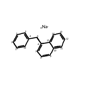 [Na].c1ccc(Cc2cccc3ccccc23)cc1